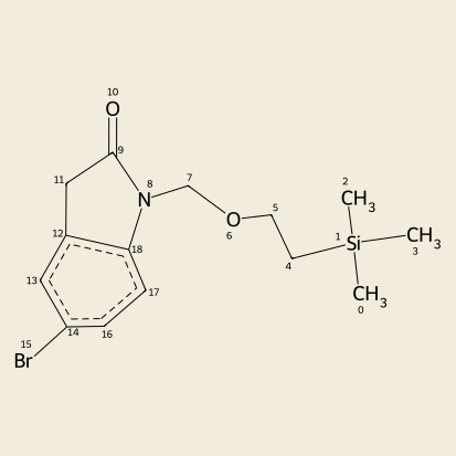 C[Si](C)(C)CCOCN1C(=O)Cc2cc(Br)ccc21